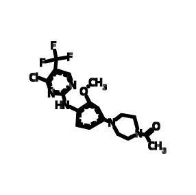 COc1cc(N2CCN(C(C)=O)CC2)ccc1Nc1ncc(C(F)(F)F)c(Cl)n1